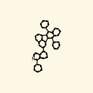 c1ccc(-c2nccc3c(-c4cc5c6c(cccc6c4)-c4c-5c(-c5ccccc5)c5ccccc5c4-c4ccccc4)cccc23)cc1